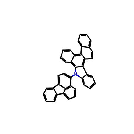 c1ccc2c(c1)-c1cccc3c(-n4c5ccccc5c5c6ccc7ccccc7c6c6ccccc6c54)ccc-2c13